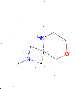 CN1CC2(COCCN2)C1